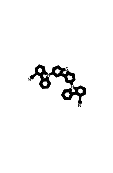 N#Cc1cccc2c1c1ccccc1n2-c1ccc2sc3ccc(-n4c5ccccc5c5c(C#N)cccc54)cc3c2c1